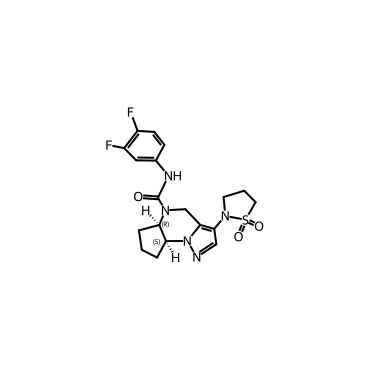 O=C(Nc1ccc(F)c(F)c1)N1Cc2c(N3CCCS3(=O)=O)cnn2[C@H]2CCC[C@H]21